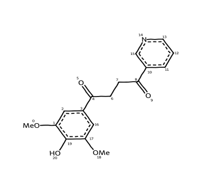 COc1cc(C(=O)CCC(=O)c2cccnc2)cc(OC)c1O